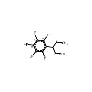 CCC(CC)c1c(F)c(F)c(F)c(F)c1F